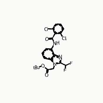 CC(C)(C)OC(=O)Cn1c(C(F)F)nc2c(NC(=O)c3c(Cl)cccc3Cl)cccc21